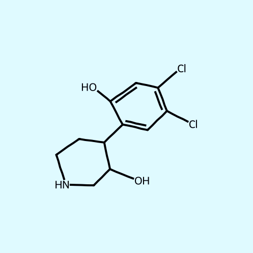 Oc1cc(Cl)c(Cl)cc1C1CCNCC1O